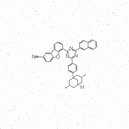 C[C@@H]1C[C@@H]2C[C@H](C)CC(c3ccc(-c4nc(-c5ccc6ccccc6c5)nc(-c5cccc6c5oc5ccc(C#N)cc56)n4)cc3)(C1)C2